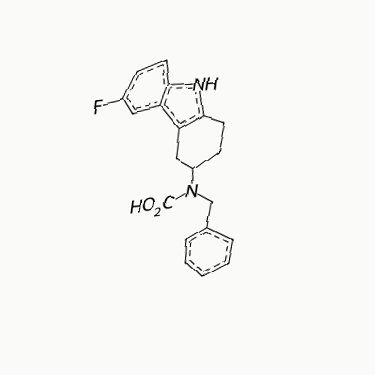 O=C(O)N(Cc1ccccc1)C1CCc2[nH]c3ccc(F)cc3c2C1